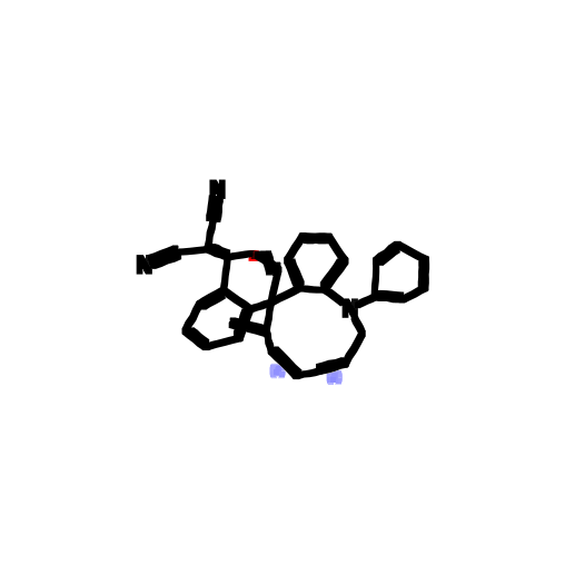 C=C1/C=C\C=C/CN(c2ccccc2)c2ccccc2C12c1ccccc1C(=C(C#N)C#N)c1ccccc12